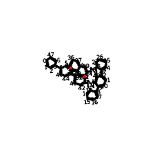 c1ccc(-c2ccc(-c3ccc(-n4c5ccccc5c5ccc6c7ccccc7n(-c7ccc8ccccc8c7)c6c54)cc3)cc2)cc1